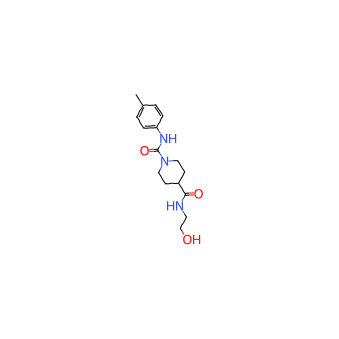 Cc1ccc(NC(=O)N2CCC(C(=O)NCCO)CC2)cc1